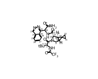 CC(C)(C)[C@H](NC(=O)C(F)(F)F)C(=O)N1C[C@H]2[C@@H]([C@H]1C(=O)NC(C(N)=O)c1nncc3ccccc13)C21CC1